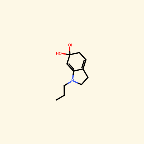 CCCN1CCC2=CCC(O)(O)C=C21